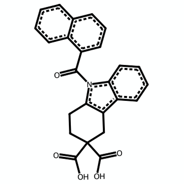 O=C(c1cccc2ccccc12)n1c2c(c3ccccc31)CC(C(=O)O)(C(=O)O)CC2